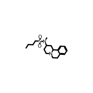 CCCCS(=O)(=O)N(C)C1CCN2CCc3ccccc3C2C1